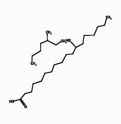 CCCCC(C)CC.CCCCCCC(O)CCCCCCCCCCC(=O)O